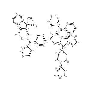 CC1(C)c2ccccc2-c2ccc(N(c3ccccc3)c3ccc(-c4cc(N(c5ccccc5)c5ccccc5)c5c6ccccc6n(-c6ccc(-c7ccccc7)cc6)c5c4)cc3)cc21